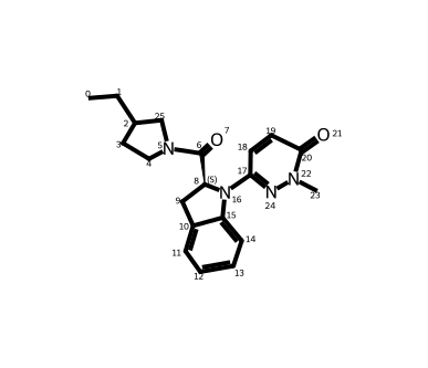 CCC1CCN(C(=O)[C@@H]2Cc3ccccc3N2c2ccc(=O)n(C)n2)C1